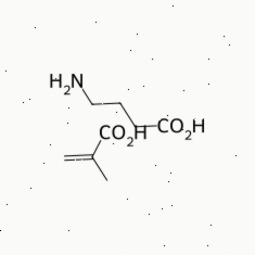 C=C(C)C(=O)O.NCCCC(=O)O